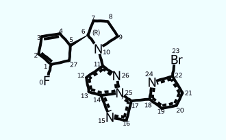 FC1=CC=CC([C@H]2CCCN2c2ccc3ncc(-c4cccc(Br)n4)n3n2)C1